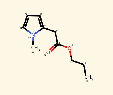 CCCOC(=O)Cc1cccn1C